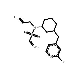 C=CCN([C@@H]1CCCN(Cc2ccnc(Br)c2)C1)S(=O)(=O)C=C